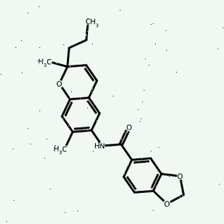 CCCC1(C)C=Cc2cc(NC(=O)c3ccc4c(c3)OCO4)c(C)cc2O1